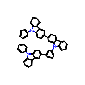 c1ccc(-n2c3ccccc3c3cc(-c4cccc(-n5c6ccccc6c6ccc(-c7ccc8c(c7)c7ccccc7n8-c7ccccc7)cc65)c4)ccc32)cc1